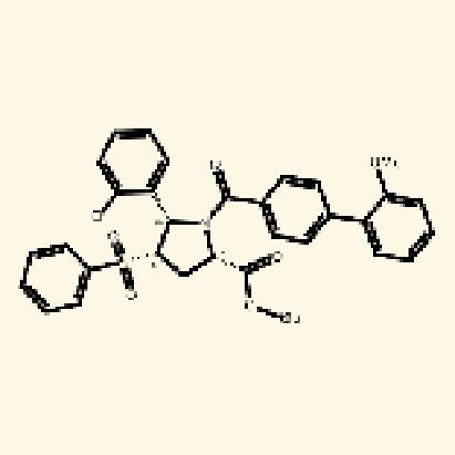 COc1ccccc1-c1ccc(C(=O)N2[C@H](C(=O)OC(C)(C)C)C[C@H](S(=O)(=O)c3ccccc3)[C@@H]2c2ccccc2Cl)cc1